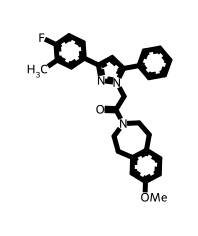 COc1ccc2c(c1)CCN(C(=O)Cn1nc(-c3ccc(F)c(C)c3)cc1-c1ccccc1)CC2